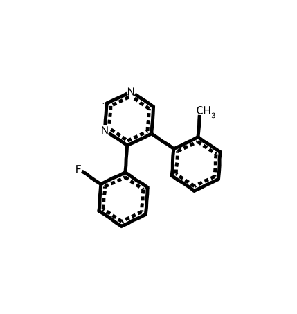 Cc1ccccc1-c1cn[c]nc1-c1ccccc1F